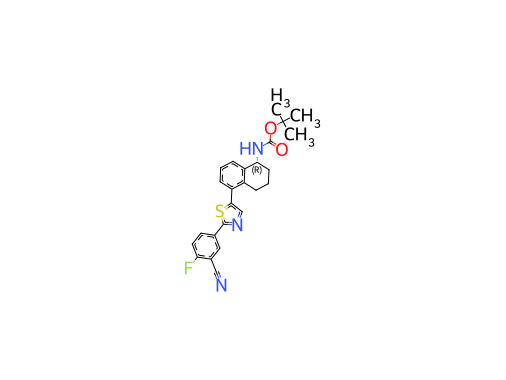 CC(C)(C)OC(=O)N[C@@H]1CCCc2c(-c3cnc(-c4ccc(F)c(C#N)c4)s3)cccc21